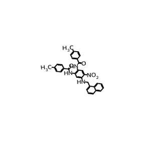 Cc1ccc(C(=O)Nc2cc(NCc3cccc4ccccc34)c([N+](=O)[O-])cc2NC(=O)c2ccc(C)cc2)cc1